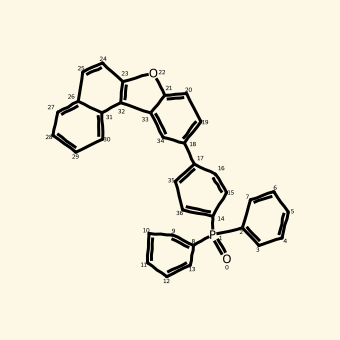 O=P(c1ccccc1)(c1ccccc1)c1ccc(-c2ccc3oc4ccc5ccccc5c4c3c2)cc1